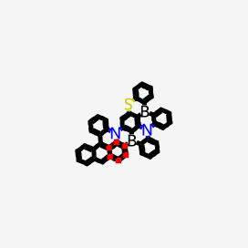 c1ccc2c(c1)Sc1cc3c4c5c1B2c1ccccc1N5c1ccccc1B4c1ccccc1N3c1ccccc1-c1c2ccccc2cc2ccccc12